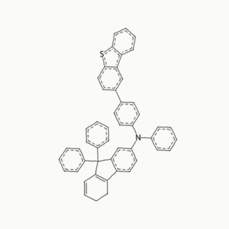 C1=CC2=C(CC1)c1ccc(N(c3ccccc3)c3ccc(-c4ccc5sc6ccccc6c5c4)cc3)cc1C2(c1ccccc1)c1ccccc1